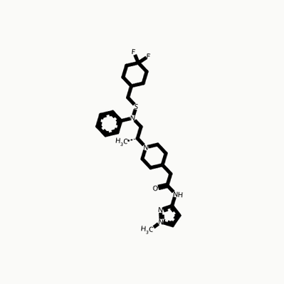 C[C@H](CN(SCC1CCC(F)(F)CC1)c1ccccc1)N1CCC(CC(=O)Nc2ccn(C)n2)CC1